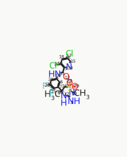 CN1C(=N)N[C@](C)(c2cc(NC(=O)c3ncc(Cl)cc3Cl)cc(F)c2F)CS1(=O)=O